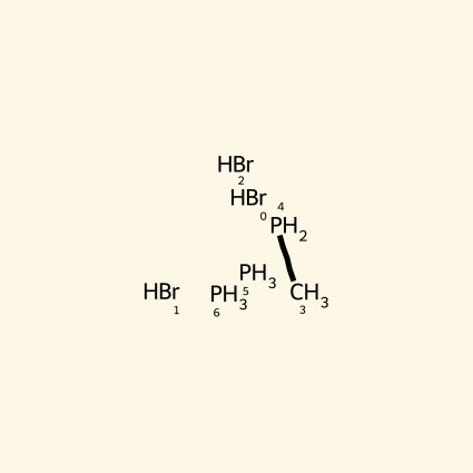 Br.Br.Br.CP.P.P